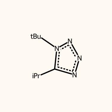 CC(C)c1nnnn1C(C)(C)C